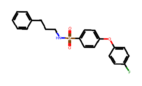 O=S(=O)(NCCCc1ccccc1)c1ccc(Oc2ccc(F)cc2)cc1